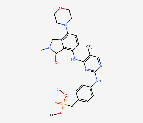 CCOP(=O)(Cc1ccc(Nc2ncc(C(F)(F)F)c(Nc3ccc(N4CCOCC4)c4c3C(=O)N(C)C4)n2)cc1)OCC